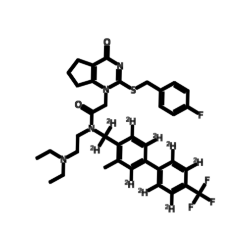 [2H]c1c([2H])c(C(F)(F)F)c([2H])c([2H])c1-c1c([2H])c([2H])c(C([2H])([2H])N(CCN(CC)CC)C(=O)Cn2c(SCc3ccc(F)cc3)nc(=O)c3c2CCC3)c(C)c1[2H]